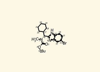 CN(C(=O)OC(C)(C)C)[C@@H](c1nc2cc(Br)ccc2[nH]1)C1CCCCC1